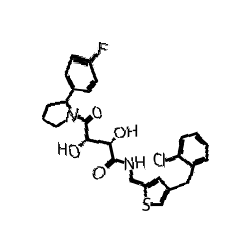 O=C(NCc1cc(Cc2ccccc2Cl)cs1)[C@H](O)[C@@H](O)C(=O)N1CCCC1c1ccc(F)cc1